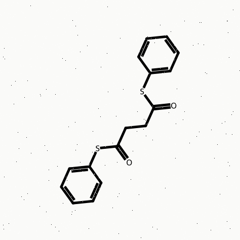 O=C(CCC(=O)Sc1ccccc1)Sc1ccccc1